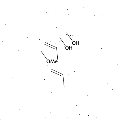 C=CC.C=CC.CO.CO.COC